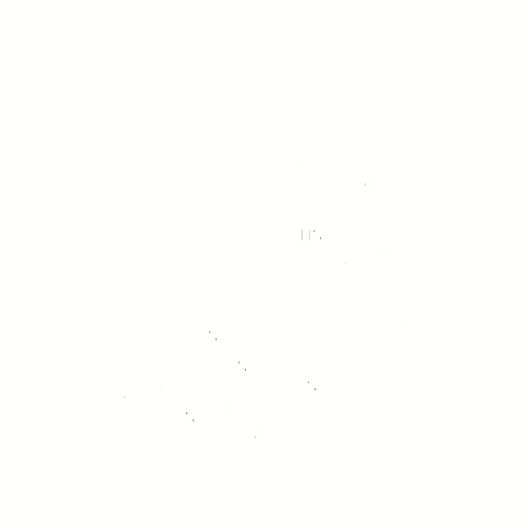 O=C(NC(O)C1CCCCCC1)c1cc(-n2ncc(=O)[nH]c2=O)ncc1Cl